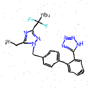 CCCCC(F)(F)c1nc(CC(C)C)n(Cc2ccc(-c3ccccc3-c3nnn[nH]3)cc2)n1